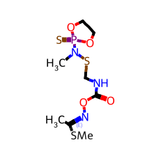 CS/C(C)=N/OC(=O)NCSN(C)P1(=S)OCCO1